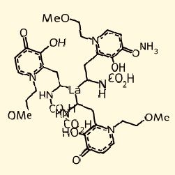 COCCn1ccc(=O)c(O)c1C[CH](NC(=O)O)[La]([CH](Cc1c(O)c(=O)ccn1CCOC)NC(=O)O)[CH](Cc1c(O)c(=O)ccn1CCOC)NC(=O)O.N